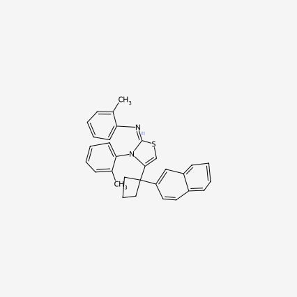 Cc1ccccc1/N=c1/scc(C2(c3ccc4ccccc4c3)CCC2)n1-c1ccccc1C